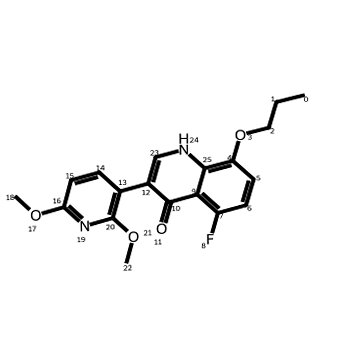 CCCOc1ccc(F)c2c(=O)c(-c3ccc(OC)nc3OC)c[nH]c12